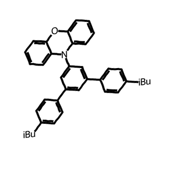 CCC(C)c1ccc(-c2cc(-c3ccc(C(C)CC)cc3)cc(N3c4ccccc4Oc4ccccc43)c2)cc1